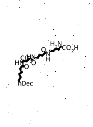 CCCCCCCCCCCCCCCC(=O)N[C@@H](CCC(=O)NCCCC(=O)NCCCC[C@H](N)C(=O)O)C(=O)O